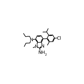 CCCN(CCC)c1ccc(-c2c(C)cc(Cl)cc2C(C)C)c2nc(N)n(C)c12